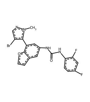 Cn1ncc(Br)c1-c1cc(NC(=O)Nc2ccc(F)cc2F)cc2ccoc12